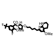 COc1cc(CCCCCO[C@@H]2CCN([C@H](C(=O)O)c3cc(C(C)(C)F)cc(F)c3OC)C2)nc2c1CCCN2